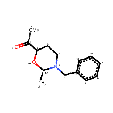 COC(=O)C1CCN(Cc2ccccc2)[C@@H](C)O1